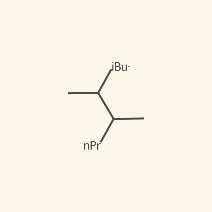 CCCC(C)C(C)[C](C)CC